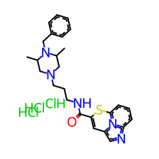 CC1CN(CCCNC(=O)C2=Cc3cnc4cccc(n34)S2)CC(C)N1Cc1ccccc1.Cl.Cl.Cl